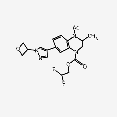 CC(=O)N1c2ccc(-c3cnn(C4COC4)c3)cc2N(C(=O)OCC(F)F)CC1C